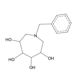 OC1CN(Cc2ccccc2)CC(O)C(O)C1O